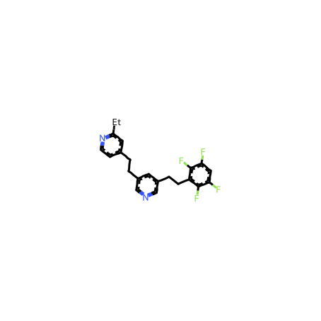 CCc1cc(CCc2cncc(CCc3c(F)c(F)cc(F)c3F)c2)ccn1